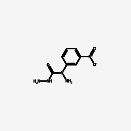 NNC(=O)N(N)c1cccc([N+](=O)[O-])c1